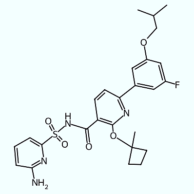 CC(C)COc1cc(F)cc(-c2ccc(C(=O)NS(=O)(=O)c3cccc(N)n3)c(OC3(C)CCC3)n2)c1